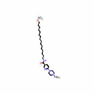 CCCCN1CCN(c2ccc(C(=O)NCCCCCCCCCCCCCCCCO[N+](=O)[O-])cn2)CC1